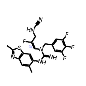 Cc1nc2cc(C)c(NC(=N)N(/C=C(/F)CNC#N)Cc3cc(F)c(F)c(F)c3)cc2s1